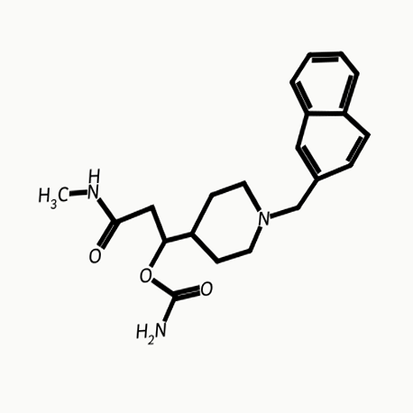 CNC(=O)CC(OC(N)=O)C1CCN(Cc2ccc3ccccc3c2)CC1